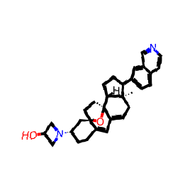 C[C@]12CC=C3C=C4CC[C@H](N5CC(O)C5)C[C@]45CC[C@]3(O5)[C@@H]1CCC2c1ccc2ccncc2c1